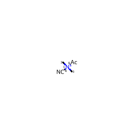 [CH2]C(=O)[N+](C)(C)C#N